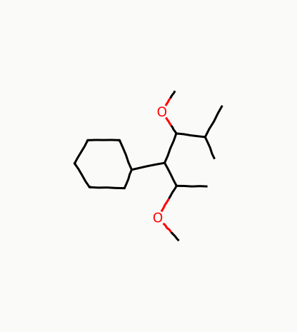 COC(C)C(C1CCCCC1)C(OC)C(C)C